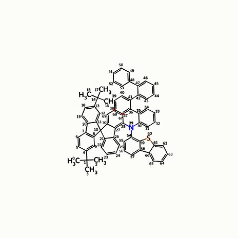 CC(C)(C)c1ccc2c(c1)C1(c3cc(C(C)(C)C)ccc3-2)c2ccccc2-c2c(N(c3ccccc3-c3ccccc3-c3ccccc3-c3ccccc3)c3cccc4c3sc3ccccc34)cccc21